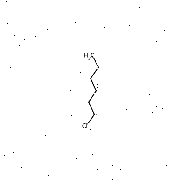 [CH2]CCCC[CH]Cl